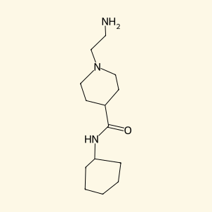 NCCN1CCC(C(=O)NC2CCCCC2)CC1